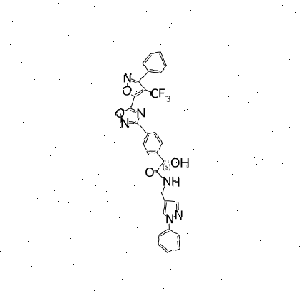 O=C(NCc1cnn(-c2ccccc2)c1)[C@@H](O)c1ccc(-c2noc(-c3onc(-c4ccccc4)c3C(F)(F)F)n2)cc1